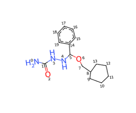 NC(=O)NNC(OCC1CCCCC1)c1ccccc1